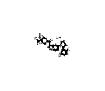 Cl.NC1(C(=O)O)CCN(C(=O)c2cnn3ccc(N4CCCC4c4cc(F)ccc4F)cc23)CC1